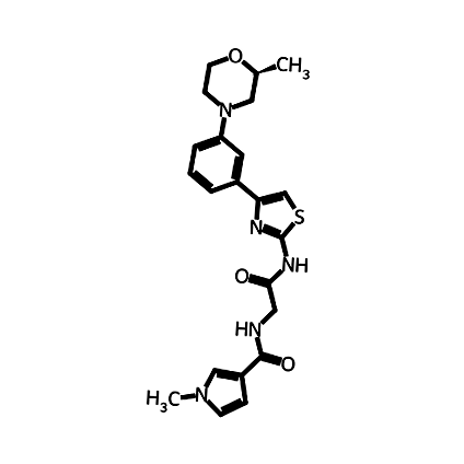 C[C@H]1CN(c2cccc(-c3csc(NC(=O)CNC(=O)c4ccn(C)c4)n3)c2)CCO1